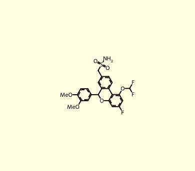 COc1ccc(C2Oc3cc(F)cc(OC(F)F)c3-c3ccc(CS(N)(=O)=O)cc32)cc1OC